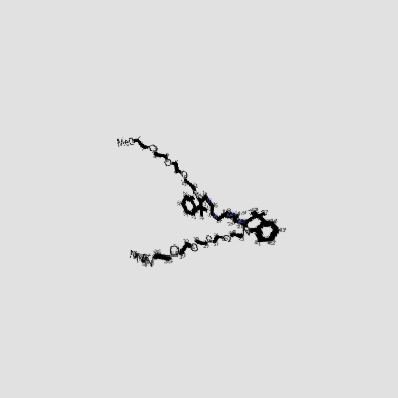 COCCOCCOCCOCC[N+]1=C(\C=C/C=C\C=C/C=C2/N(CCOCCOCCOCCOCCN=[N+]=[N-])c3ccccc3C2(C)C)C(C)(C)c2ccccc21